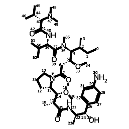 CC[C@H](C)[C@@H]([C@@H](CC(=O)N1CCC[C@H]1[C@H](OC)[C@@H](C)C(=O)N[C@H](C)[C@@H](O)c1ccc(N)cc1)OC)N(C)C(=O)[C@@H](NC(=O)[C@H](C(C)C)N(C)C)C(C)C